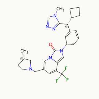 C[C@H]1CCN(Cc2cc(C(F)(F)F)c3cn(-c4cccc([C@H](c5nncn5C)C5CCC5)c4)c(=O)n3c2)C1